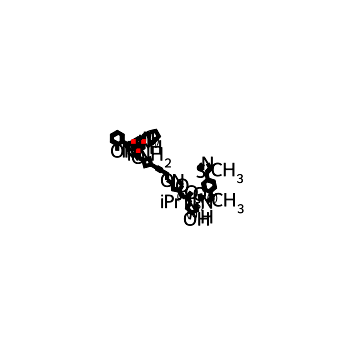 Cc1ncsc1-c1ccc([C@H](C)NC(=O)[C@@H]2C[C@@H](O)CN2C(=O)[C@@H](c2cc(OCC#CC3CC(Oc4cc(N5C6CC[C@H]5CN(c5cc(-c7ccccc7O)nnc5N)C6)ccn4)C3)no2)C(C)C)cc1